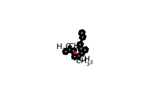 CC1(C)c2ccccc2-c2ccc(N(c3ccc(-c4ccc5ccccc5c4)cc3)c3c4c(cc5ccccc35)C(C)(C)c3ccccc3-4)cc21